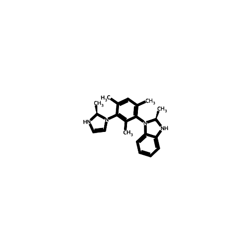 Cc1cc(C)c(N2c3ccccc3N[C@@H]2C)c(C)c1N1C=CN[C@H]1C